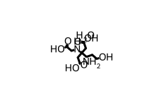 NC(CCO)C(CC(=O)O)(CC(=O)O)NCC(=O)O.O